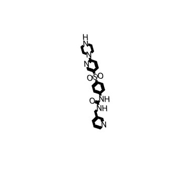 O=C(NCc1cccnc1)Nc1ccc(S(=O)(=O)c2ccc(N3CCNCC3)nc2)cc1